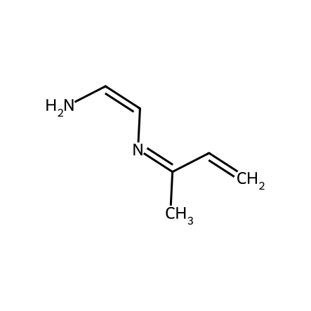 C=C/C(C)=N\C=C/N